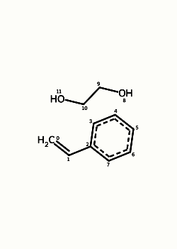 C=Cc1ccccc1.OCCO